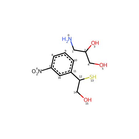 NCC(O)CO.O=[N+]([O-])c1cccc(C(S)CO)c1